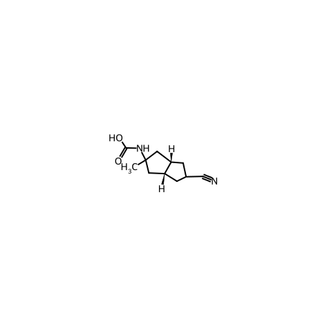 CC1(NC(=O)O)C[C@H]2CC(C#N)C[C@H]2C1